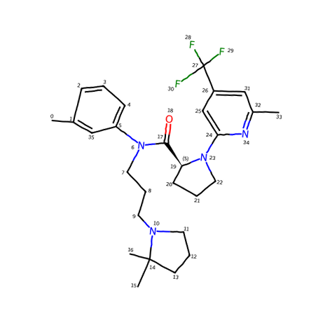 Cc1cccc(N(CCCN2CCCC2(C)C)C(=O)[C@@H]2CCCN2c2cc(C(F)(F)F)cc(C)n2)c1